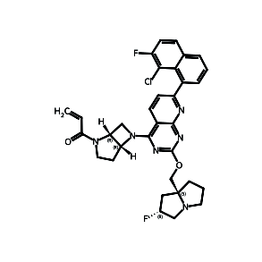 C=CC(=O)N1CC[C@@H]2[C@H]1CN2c1nc(OC[C@@]23CCCN2C[C@H](F)C3)nc2nc(-c3cccc4ccc(F)c(Cl)c34)ccc12